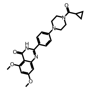 COc1cc(OC)c2c(=O)[nH]c(-c3ccc(N4CCN(C(=O)C5CC5)CC4)cc3)nc2c1